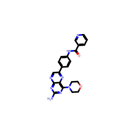 Nc1nc(N2CCOCC2)c2nc(-c3ccc(NC(=O)c4cccnc4)cc3)cnc2n1